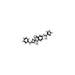 CC1(Nc2ccc(SNc3cscn3)cc2Cl)CN(Cc2ccccc2)C1